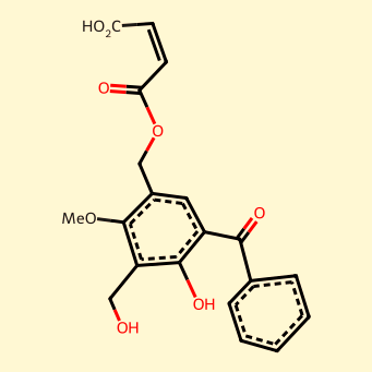 COc1c(COC(=O)/C=C\C(=O)O)cc(C(=O)c2ccccc2)c(O)c1CO